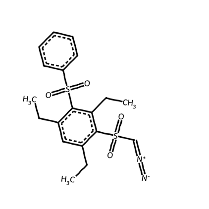 CCc1cc(CC)c(S(=O)(=O)c2ccccc2)c(CC)c1S(=O)(=O)C=[N+]=[N-]